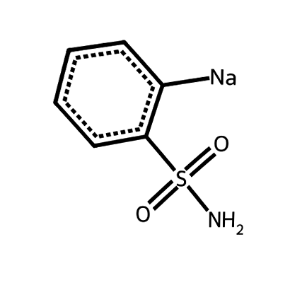 NS(=O)(=O)c1cccc[c]1[Na]